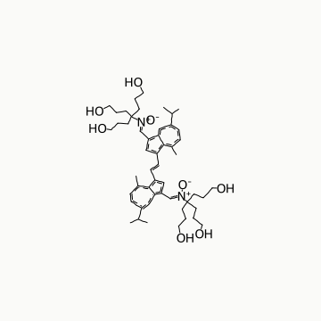 Cc1ccc(C(C)C)cc2c(/C=[N+](\[O-])C(CCCO)(CCCO)CCCO)cc(/C=C/c3cc(/C=[N+](\[O-])C(CCCO)(CCCO)CCCO)c4cc(C(C)C)ccc(C)c3-4)c1-2